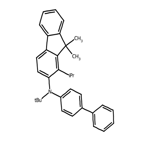 CC(C)c1c(N(c2ccc(-c3ccccc3)cc2)C(C)(C)C)ccc2c1C(C)(C)c1ccccc1-2